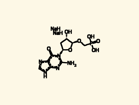 Nc1nc2[nH]cnc2c(=O)n1[C@H]1C[C@H](O)[C@@H](OCP(=O)(O)O)O1.[NaH].[NaH]